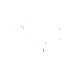 CC(=O)O.O=P(O)(O)O.O=[N+]([O-])O